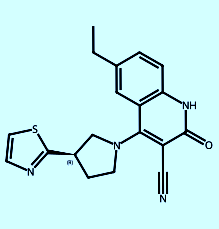 CCc1ccc2[nH]c(=O)c(C#N)c(N3CC[C@@H](c4nccs4)C3)c2c1